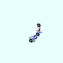 O=C(CCOc1ccccc1)Nc1ccc(N2CCN(C(=O)Nc3c(Cl)cccc3Cl)CC2)cc1